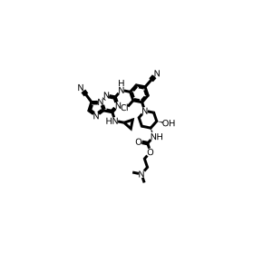 CN(C)CCOC(=O)N[C@@H]1CCN(c2cc(C#N)cc(Nc3nc(NC4CC4)c4ncc(C#N)n4n3)c2Cl)C[C@@H]1O